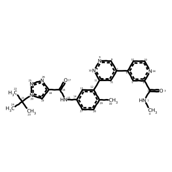 CNC(=O)c1cc(-c2cnnc(-c3cc(NC(=O)c4cn(C(C)(C)C)nn4)ccc3C)c2)ccn1